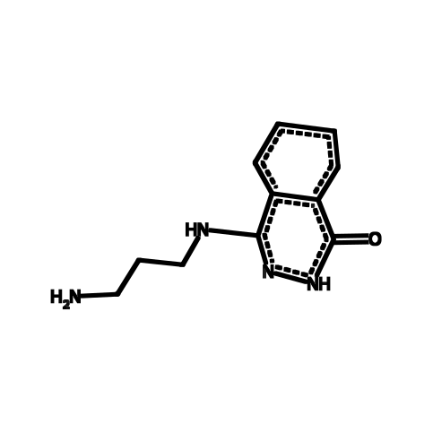 NCCCNc1n[nH]c(=O)c2ccccc12